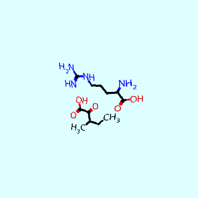 CCC(C)C(=O)C(=O)O.N=C(N)NCCCC(N)C(=O)O